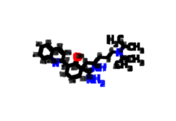 CC(C)N(CCCCCC1(C(=N)N)C=CCC(c2ccc3ccccc3n2)C1=O)C(C)C